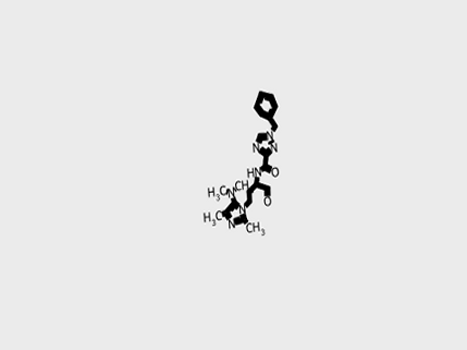 Cc1nc(C)n(CCC(C=O)NC(=O)c2ncn(Cc3ccccc3)n2)c1N(C)C